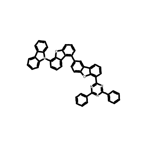 c1ccc(-c2nc(-c3ccccc3)nc(-c3cccc4c3oc3ccc(-c5cccc6oc7c(-n8c9ccccc9c9ccccc98)cccc7c56)cc34)n2)cc1